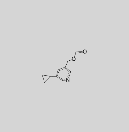 O=COCc1cncc(C2CC2)c1